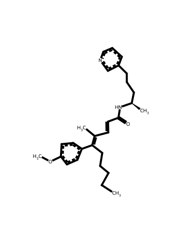 CCCCC/C(=C(C)\C=C\C(=O)N[C@H](C)CCCc1cccnc1)c1ccc(OC)cc1